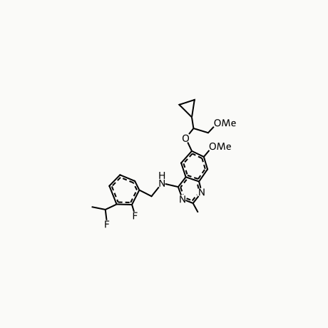 COCC(Oc1cc2c(NCc3cccc(C(C)F)c3F)nc(C)nc2cc1OC)C1CC1